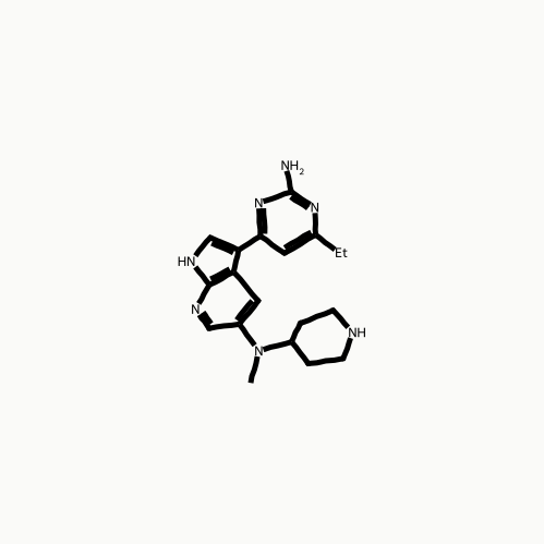 CCc1cc(-c2c[nH]c3ncc(N(C)C4CCNCC4)cc23)nc(N)n1